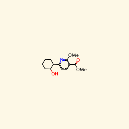 COC(=O)c1ccc(C2CCCCC2O)nc1OC